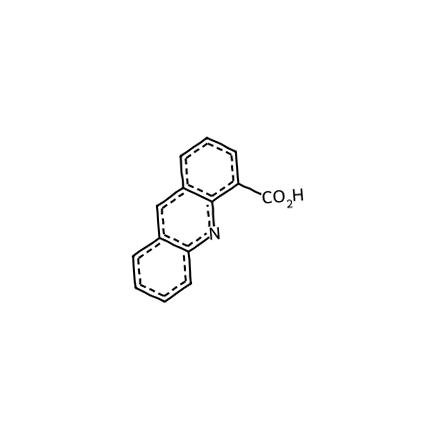 O=C(O)c1cccc2cc3ccccc3nc12